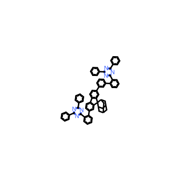 c1ccc(-c2nc(-c3ccccc3)nc(-c3ccccc3-c3cccc(-c4ccc5c(c4)C4(c6cc(-c7ccccc7-c7nc(-c8ccccc8)nc(-c8ccccc8)n7)ccc6-5)C5CC6CC(C5)CC4C6)c3)n2)cc1